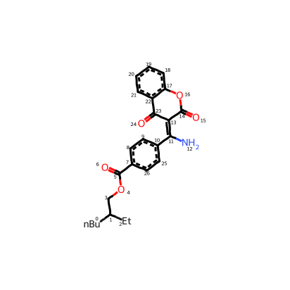 CCCCC(CC)COC(=O)c1ccc(C(N)=C2C(=O)Oc3ccccc3C2=O)cc1